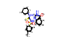 CCc1ccc(S(=O)(=O)NC(=S)NC2CCCCC2)cc1.O=c1[nH]cnc2ccccc12